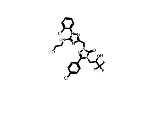 O=c1n(Cc2nc(NCCO)n(-c3ccccc3Cl)n2)nc(-c2ccc(Cl)cc2)n1CC(O)C(F)(F)F